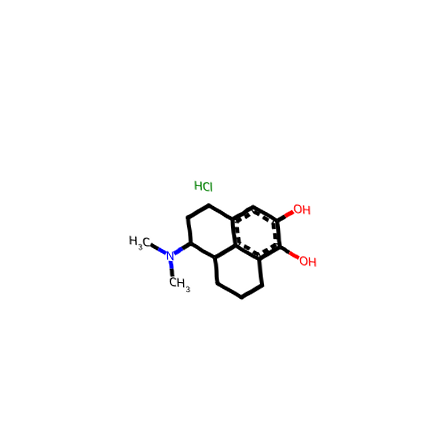 CN(C)C1CCc2cc(O)c(O)c3c2C1CCC3.Cl